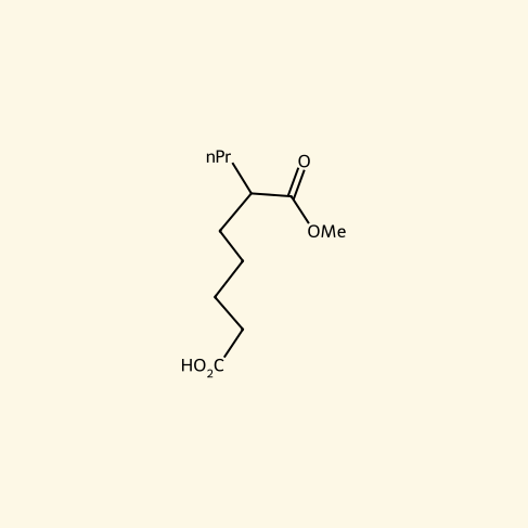 CCCC(CCCCC(=O)O)C(=O)OC